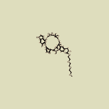 COCCOCCOCCOC(=O)[C@@H](C)Cc1cccc(C2(C)CCCC(C)(C)CS(=O)(=O)CCc3c(c(F)cc4[nH]ccc34)Oc3ccc(F)c(c3)-c3nc2nn3C)c1